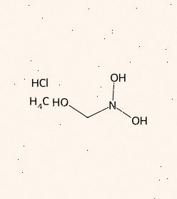 C.Cl.OCN(O)O